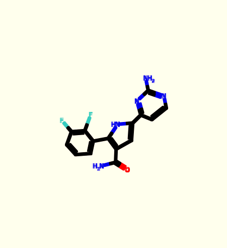 NC(=O)c1cc(-c2ccnc(N)n2)[nH]c1-c1cccc(F)c1F